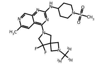 [2H]C([2H])([2H])N1CC2(CN(c3nc(NC4CCN(S(C)(=O)=O)CC4)nc4cnc(C)cc34)CC2(F)F)C1